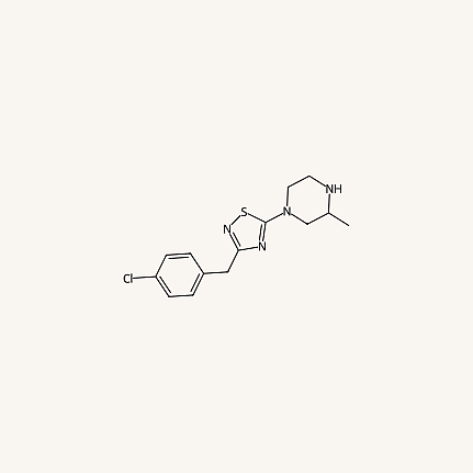 CC1CN(c2nc(Cc3ccc(Cl)cc3)ns2)CCN1